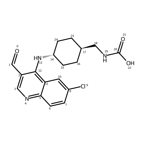 O=Cc1cnc2ccc(Cl)cc2c1N[C@H]1CC[C@H](CNC(=O)O)CC1